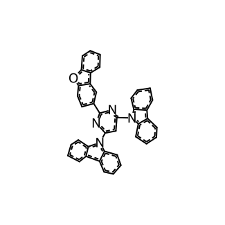 c1ccc2c(c1)oc1ccc(-c3nc(-n4c5ccccc5c5ccccc54)cc(-n4c5ccccc5c5ccccc54)n3)cc12